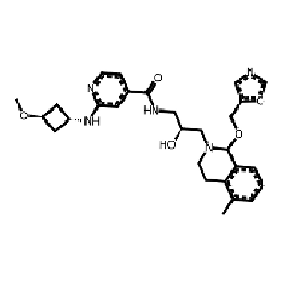 CO[C@H]1C[C@H](Nc2cc(C(=O)NC[C@H](O)CN3CCc4c(C)cccc4C3OCc3cnco3)ccn2)C1